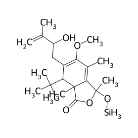 C=C(C)C(O)CC1=C(OC)C(C)=C2C(C)(O[SiH3])OC(=O)C2(C)C1C(C)(C)C